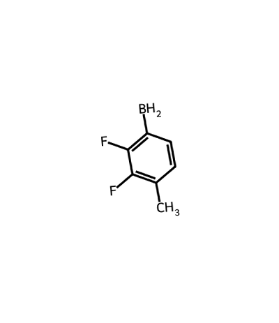 Bc1ccc(C)c(F)c1F